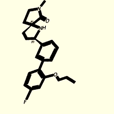 CCCOc1cc(F)ccc1-c1cccc([C@H]2CC[C@]3(CCN(C)C3=O)N2)c1